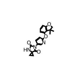 CC1(C)COc2cccc(Oc3ccc(N4C(=O)NC5(CC5)C4=O)cn3)c21